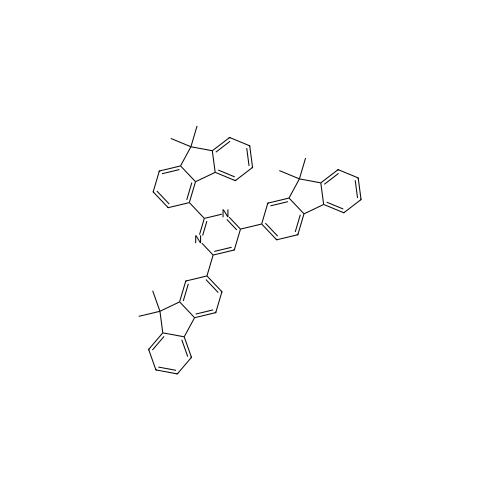 CC1(C)c2ccccc2-c2ccc(-c3cc(-c4ccc5c(c4)C(C)(C)c4ccccc4-5)nc(-c4cccc5c4-c4ccccc4C5(C)C)n3)cc21